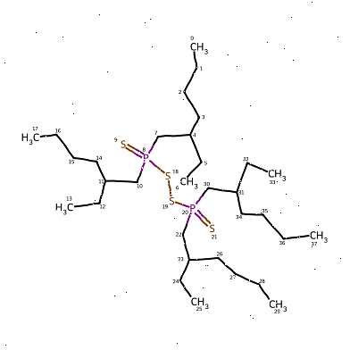 CCCCC(CC)CP(=S)(CC(CC)CCCC)SSP(=S)(CC(CC)CCCC)CC(CC)CCCC